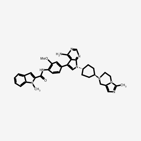 COc1cc(-c2cn([C@H]3CC[C@H](N4CCn5c(cnc5C)C4)CC3)c3ncnc(N)c23)ccc1NC(=O)c1cc2ccccc2n1C